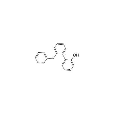 Oc1ccccc1-c1ccccc1Cc1ccccc1